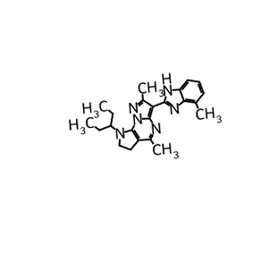 CCC(CC)N1CCc2c(C)nc3c(-c4nc5c(C)cccc5[nH]4)c(C)nn3c21